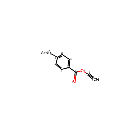 C#COC(=O)c1ccc(NC(C)=O)cc1